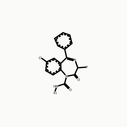 CCNC(=O)N1C(=O)C(F)N=C(c2ccccc2)c2cc(Cl)ccc21